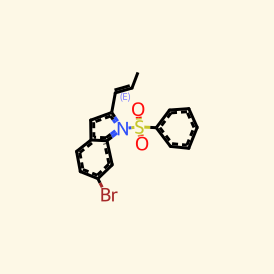 C/C=C/c1cc2ccc(Br)cc2n1S(=O)(=O)c1ccccc1